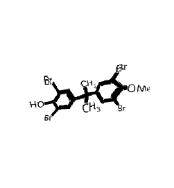 COc1c(Br)cc(C(C)(C)c2cc(Br)c(O)c(Br)c2)cc1Br